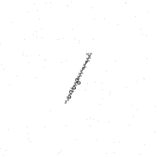 CCCCOCCOCCOCCCC(=O)OCCCCCCCCCCCCCCCC(C)C